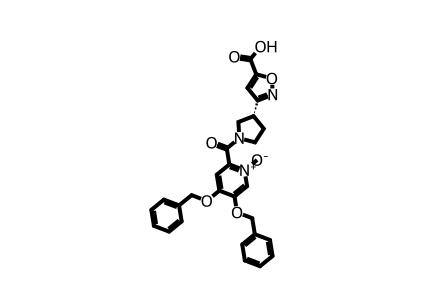 O=C(O)c1cc([C@@H]2CCN(C(=O)c3cc(OCc4ccccc4)c(OCc4ccccc4)c[n+]3[O-])C2)no1